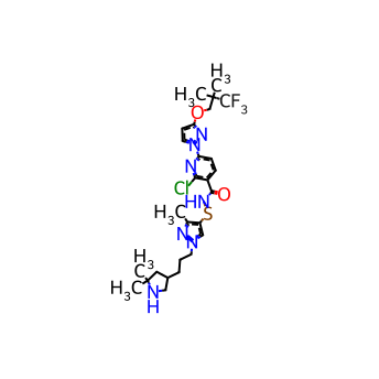 Cc1nn(CCCC2CNC(C)(C)C2)cc1SNC(=O)c1ccc(-n2ccc(OCC(C)(C)C(F)(F)F)n2)nc1Cl